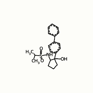 CC(C)S(=O)(=O)NC1CCCC1(O)c1ccc(-c2ccccc2)cc1